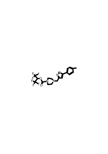 Cc1ccc(-c2cc(CN3CCN(C(=O)OC(C(F)(F)F)C(F)(F)F)CC3)no2)cc1